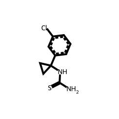 NC(=S)NC1(c2cccc(Cl)c2)CC1